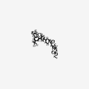 CCOC(=O)Cc1csc(CC(=O)N2CCC(c3nc(-c4cc(SC(F)(F)F)cc(C(C)(C)C)c4)c(Cl)s3)CC2)n1